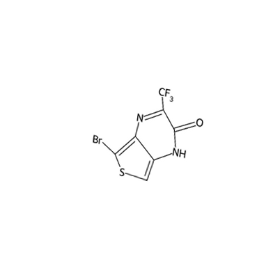 O=c1[nH]c2csc(Br)c2nc1C(F)(F)F